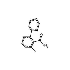 Cc1cccc(-c2ccccc2)c1C(N)=O